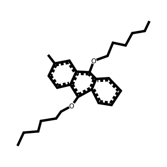 CCCCCCOc1c2ccccc2c(OCCCCCC)c2cc(C)ccc12